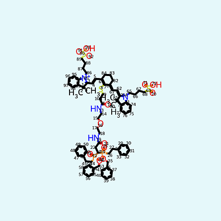 CC1(C)C(/C=C/C2=C(SCCC(=O)NCCOCCNC(=O)CC(P(=O)(CCc3ccccc3)OCc3ccccc3)P(=O)(CCc3ccccc3)OCc3ccccc3)C(=C/C=C3/N(CCCCS(=O)(=O)O)c4ccccc4C3(C)C)/CCC2)=[N+](CCCCS(=O)(=O)O)c2ccccc21